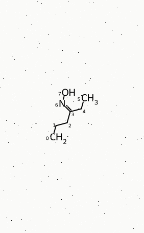 [CH2]CCC(CC)=NO